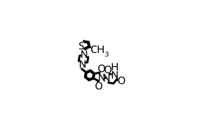 Cc1ccsc1N1CCN(Cc2ccc3c(c2)C(=O)N(N2CCC(=O)NC2=O)C3=O)CC1